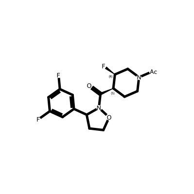 CC(=O)N1CC[C@@H](C(=O)N2OCCC2c2cc(F)cc(F)c2)[C@@H](F)C1